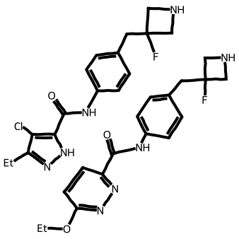 CCOc1ccc(C(=O)Nc2ccc(CC3(F)CNC3)cc2)nn1.CCc1n[nH]c(C(=O)Nc2ccc(CC3(F)CNC3)cc2)c1Cl